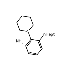 CCCCCCCc1ccccc1N1CCCCC1.N